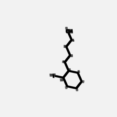 OCCCCC1CCCCC1F